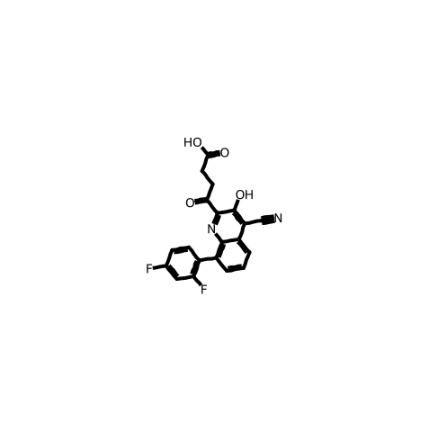 N#Cc1c(O)c(C(=O)CCC(=O)O)nc2c(-c3ccc(F)cc3F)cccc12